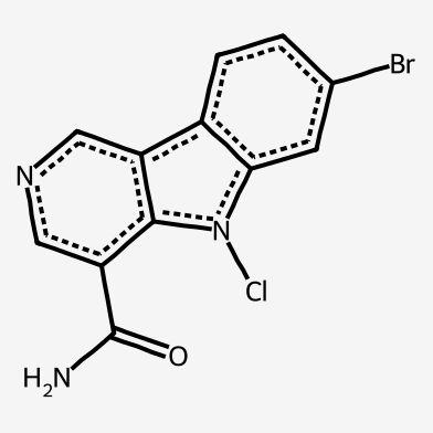 NC(=O)c1cncc2c3ccc(Br)cc3n(Cl)c12